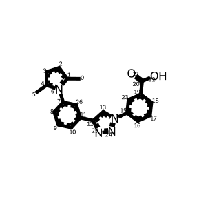 Cc1ccc(C)n1-c1cccc(-c2cn(-c3cccc(C(=O)O)c3)nn2)c1